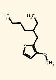 CCCCC(CC)Cc1sccc1OC